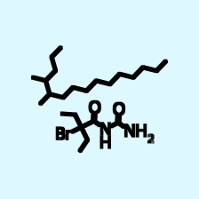 CCC(Br)(CC)C(=O)NC(N)=O.CCCCCCCCCCC(C)C(C)CCC